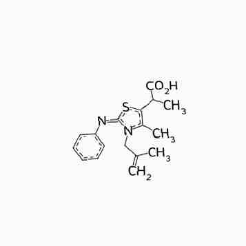 C=C(C)Cn1c(C)c(C(C)C(=O)O)sc1=Nc1ccccc1